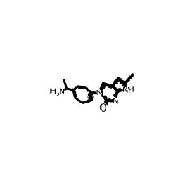 Cc1cc2cn(C3=CCC=C(C(C)N)C=C3)c(=O)nc2[nH]1